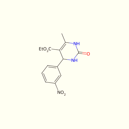 CCOC(=O)C1=C(C)NC(=O)NC1c1cccc([N+](=O)[O-])c1